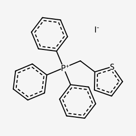 [I-].c1ccc([P+](Cc2cccs2)(c2ccccc2)c2ccccc2)cc1